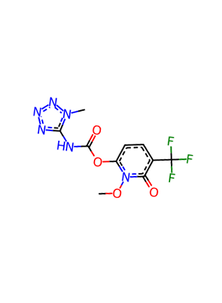 COn1c(OC(=O)Nc2nnnn2C)ccc(C(F)(F)F)c1=O